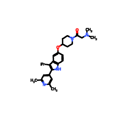 Cc1cc(-c2[nH]c3ccc(OC4CCN(C(=O)CN(C)C)CC4)cc3c2C(C)C)cc(C)n1